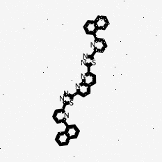 c1cc(-c2nnc(-c3ccc4ccc(-c5nnc(-c6cccc(-c7cccc8ccccc78)n6)s5)nc4n3)s2)nc(-c2cccc3ccccc23)c1